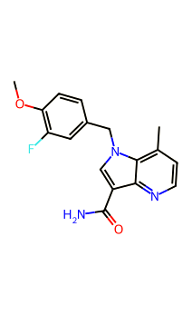 COc1ccc(Cn2cc(C(N)=O)c3nccc(C)c32)cc1F